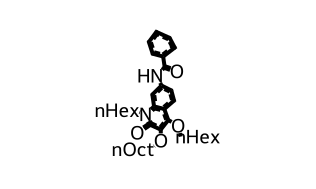 CCCCCCCCOc1c(OCCCCCC)c2ccc(NC(=O)c3ccccc3)cc2n(CCCCCC)c1=O